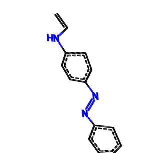 C=CNc1ccc(/N=N/c2ccccc2)cc1